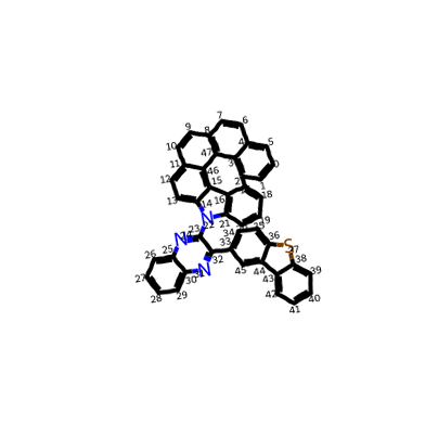 c1cc2c3c(c1)ccc1ccc4ccc5c(c6c-2cccc6n5-c2nc5ccccc5nc2-c2ccc5sc6ccccc6c5c2)c4c13